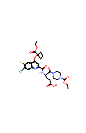 CCOC(=O)N1CCN(C(=O)C(CCC(=O)O)NC(=O)c2cc(OC3(C(=O)OCC)CCC3)c3cc(F)c(Cl)cc3n2)CC1